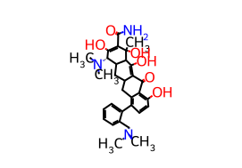 CN(C)Cc1ccccc1-c1ccc(O)c2c1CC1CC3C(C(O)=C1C2=O)C(C)(O)C(C(N)=O)=C(O)[C@H]3N(C)C